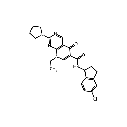 CCn1cc(C(=O)NC2CCc3cc(Cl)ccc32)c(=O)c2cnc(N3CCCC3)nc21